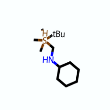 CC(C)(C)[SH](C)(C)(C)CNC1CCCCC1